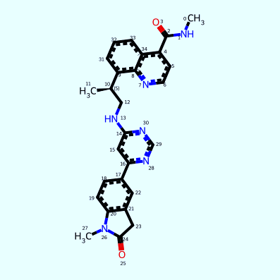 CNC(=O)c1ccnc2c([C@H](C)CNc3cc(-c4ccc5c(c4)CC(=O)N5C)ncn3)cccc12